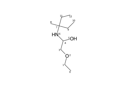 CCOCC(O)NC(C)(CC)CC